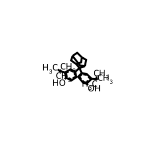 CC(C)(C)c1cc(C2(c3ccc(O)c(C(C)(C)C)c3)C3CC4CC(C3)CC2C4)ccc1O